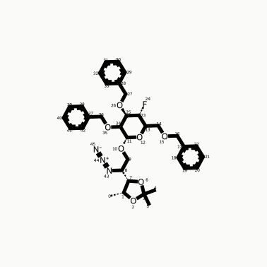 C[C@H]1OC(C)(C)O[C@H]1C(CO[C@H]1OC(COCc2ccccc2)[C@@H](F)[C@H](OCc2ccccc2)C1OCc1ccccc1)N=[N+]=[N-]